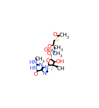 C#C[C@]1(F)C(O)[C@@H](COP(=O)(OCCSC(C)=O)N(C)C)O[C@H]1n1cnc2c(=O)[nH]c(NC)nc21